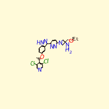 CCOCC1(N)CN(c2ccc(-c3n[nH]c4ccc(O[C@H](C)c5c(Cl)cncc5Cl)cc34)nn2)C1